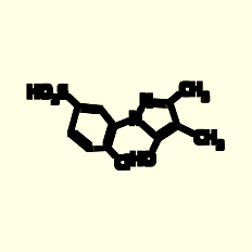 Cc1nn(-c2cc(S(=O)(=O)O)ccc2Cl)c(O)c1C